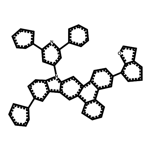 c1ccc(-c2ccc3c(c2)c2cc4c5ccccc5c5cc(-c6cccc7ccoc67)ccc5c4cc2n3-c2cc(-c3ccccc3)nc(-c3ccccc3)c2)cc1